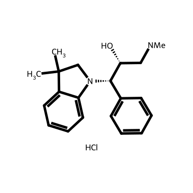 CNC[C@@H](O)[C@H](c1ccccc1)N1CC(C)(C)c2ccccc21.Cl